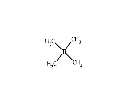 [CH3][Ti]([CH3])([CH3])[CH3]